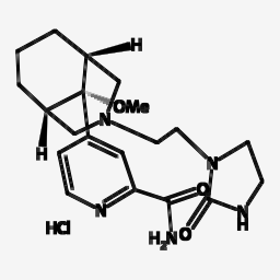 CO[C@@]1(c2ccnc(C(N)=O)c2)[C@@H]2CCC[C@H]1CN(CCN1CCNC1=O)C2.Cl